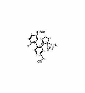 COc1ccc(F)c(-c2ccc(CCl)cc2C2=CCCC2(C)C)c1